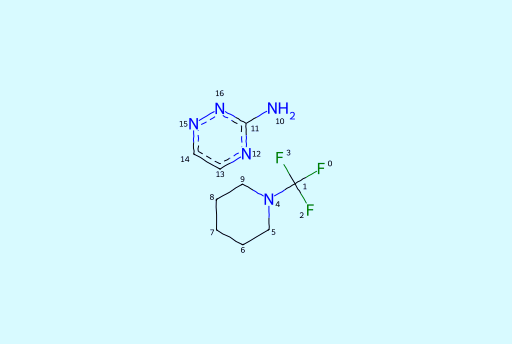 FC(F)(F)N1CCCCC1.Nc1nccnn1